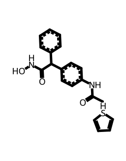 O=C(C[SH]1C=CC=C1)Nc1ccc(C(C(=O)NO)c2ccccc2)cc1